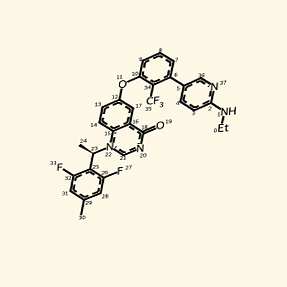 CCNc1ccc(-c2cccc(Oc3ccc4c(c3)c(=O)ncn4[C@H](C)c3c(F)cc(C)cc3F)c2C(F)(F)F)cn1